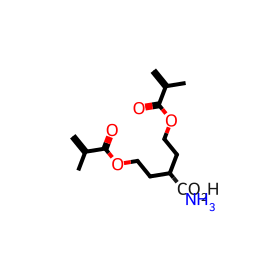 C=C(C)C(=O)OCCC(CCOC(=O)C(=C)C)C(=O)O.N